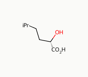 CC(C)CC[C@H](O)C(=O)O